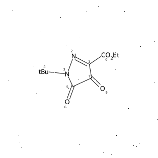 CCOC(=O)C1=NN(C(C)(C)C)C(=O)C1=O